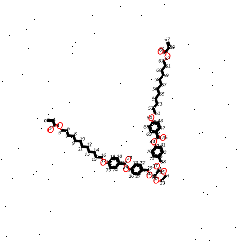 C=CC(=O)OCCCCCCCCCCCCOc1ccc(C(=O)Oc2ccc(CO[C@H]3OCCO[C@@H]3OCc3ccc(OC(=O)c4ccc(OCCCCCCCCCCCCOC(=O)C=C)cc4)cc3)cc2)cc1